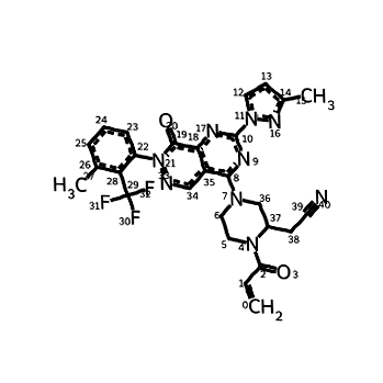 C=CC(=O)N1CCN(c2nc(-n3ccc(C)n3)nc3c(=O)n(-c4cccc(C)c4C(F)(F)F)ncc23)CC1CC#N